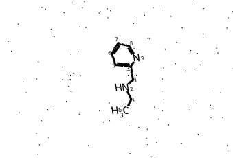 CCN[CH]c1ccccn1